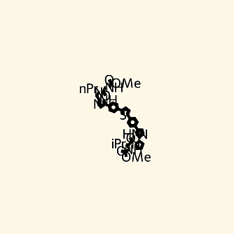 CCCN(Cc1ncc(-c2ccc(-c3ccc(-c4ccc(-c5cnc([C@@H]6CCCN6C(=O)C(NC(=O)OC)C(C)C)[nH]5)cc4)s3)cc2)[nH]1)C(=O)CNC(=O)OC